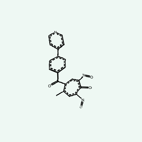 Cc1cc(N=O)c(=O)c(N=O)cc1C(=O)c1ccc(-c2ccncc2)cc1